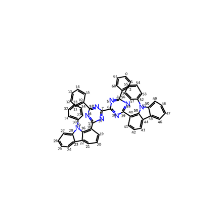 c1ccc(-c2nc(-c3nc(-c4ccccc4)nc(-c4cccc5c6ccccc6n(-c6ccccc6)c45)n3)nc(-c3cccc4c5ccccc5n(-c5ccccc5)c34)n2)cc1